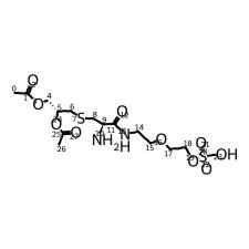 CC(=O)OC[C@H](CSC[C@H](N)C(=O)NCCOCCOS(=O)(=O)O)OC(C)=O